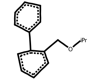 CC(C)OCc1ccccc1-c1ccccc1